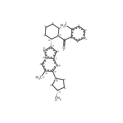 Cc1ccncc1C(=O)N1CCCC[C@H]1c1cc2nc(N3CC[C@H](C)C3)c(C)cn2n1